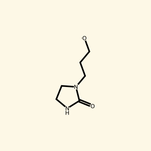 [O]CCCN1CCNC1=O